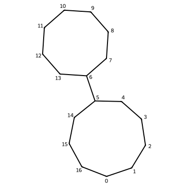 C1CCCCC(C2CCCCCCC2)CCC1